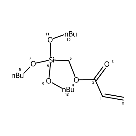 C=CC(=O)OC[Si](OCCCC)(OCCCC)OCCCC